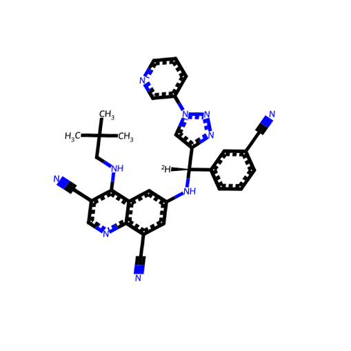 [2H][C@](Nc1cc(C#N)c2ncc(C#N)c(NCC(C)(C)C)c2c1)(c1cccc(C#N)c1)c1cn(-c2cccnc2)nn1